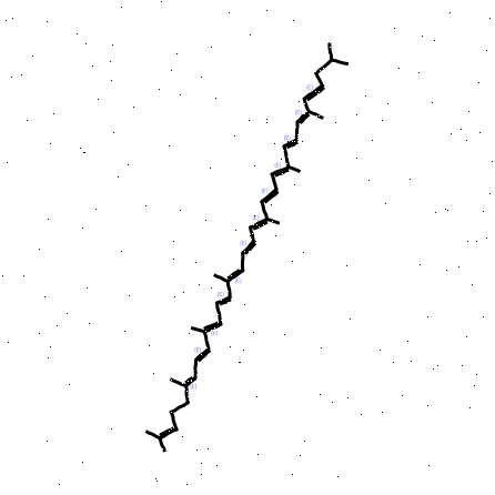 CC(C)=CCC/C(C)=C/C=C/C(C)=C/C=C/C(C)=C/C=C/C=C(C)/C=C/C=C(C)/C=C/C=C(C)/C=C/CC(C)C